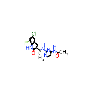 CC(=O)Nc1ccnc(N[C@@H](C)c2cc3cc(Cl)cc(F)c3[nH]c2=O)n1